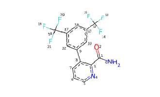 NC(=O)c1ncccc1-c1cc(C(F)(F)F)cc(C(F)(F)F)c1